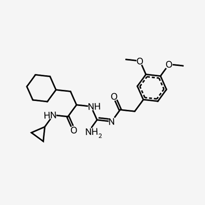 COc1ccc(CC(=O)N=C(N)NC(CC2CCCCC2)C(=O)NC2CC2)cc1OC